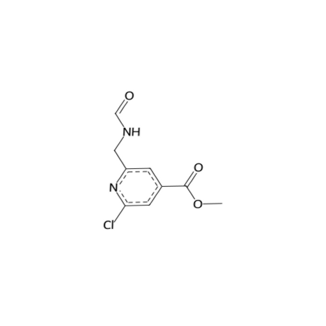 COC(=O)c1cc(Cl)nc(CNC=O)c1